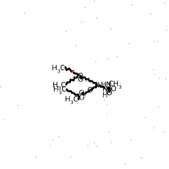 CCCCCCCCC(CC)OC(=O)CCCOCCCN(CCCCCCCC(=O)OC(CCCCCCCC)CCCCCCCC)CCCNc1c(NC)c(=O)c1=O